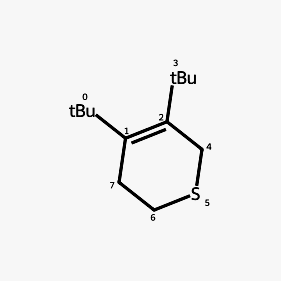 CC(C)(C)C1=C(C(C)(C)C)CSCC1